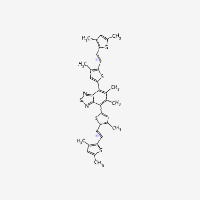 Cc1cc(C)c(/C=C/c2sc(-c3c(C)c(C)c(-c4cc(C)c(/C=C/c5sc(C)cc5C)s4)c4nsnc34)cc2C)s1